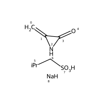 C=C1NC1=O.CC(C)CS(=O)(=O)O.[NaH]